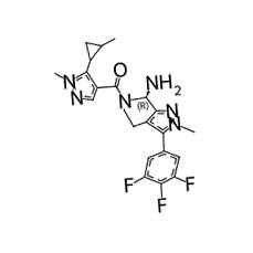 CC1CC1c1c(C(=O)N2CCc3c(nn(C)c3-c3cc(F)c(F)c(F)c3)[C@@H]2N)cnn1C